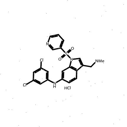 CNCc1cn(S(=O)(=O)c2cccnc2)c2cc(Nc3cc(Cl)cc(Cl)c3)ccc12.Cl